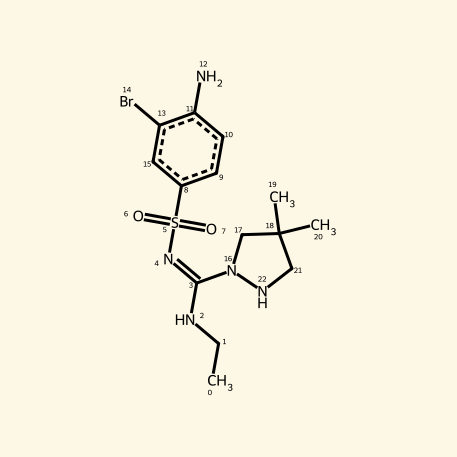 CCN/C(=N/S(=O)(=O)c1ccc(N)c(Br)c1)N1CC(C)(C)CN1